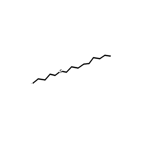 [CH2]CCCCSCCCCCCCCC